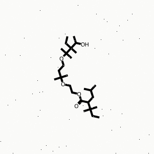 CCC(C)(C)C(CC(C)C)C(=O)OCCOC(C)(C)CCOC(C)(C)C(C)(CC)C(C)O